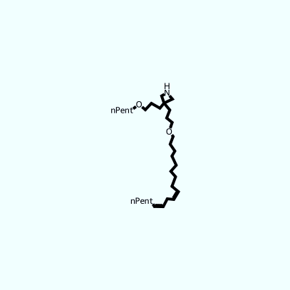 CCCCC/C=C\C/C=C\CCCCCCCCOCCCC1(CCCOCCCCC)CNC1